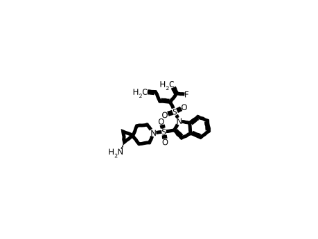 C=C/C=C(\C(=C)F)S(=O)(=O)n1c(S(=O)(=O)N2CCC3(CC2)C[C@H]3N)cc2ccccc21